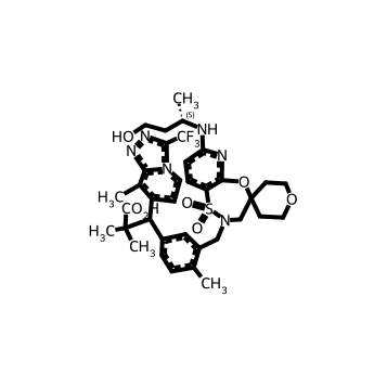 Cc1ccc(C(c2ccn3c(C(F)(F)F)nnc3c2C)C(C)(C)C(=O)O)cc1CN1CC2(CCOCC2)Oc2nc(N[C@@H](C)CCO)ccc2S1(=O)=O